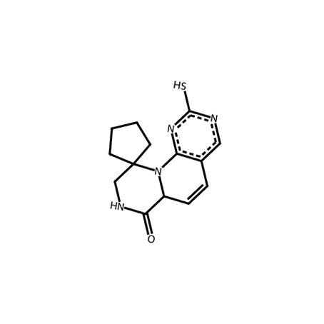 O=C1NCC2(CCCC2)N2c3nc(S)ncc3C=CC12